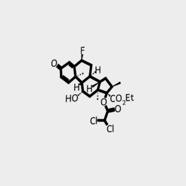 CCOC(=O)[C@@]1(OC(=O)C(Cl)Cl)[C@H](C)C[C@H]2[C@@H]3C[C@H](F)C4=CC(=O)C=C[C@]4(C)[C@H]3[C@@H](O)C[C@@]21C